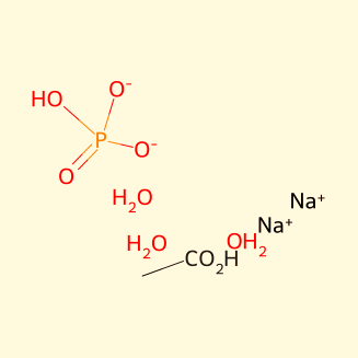 CC(=O)O.O.O.O.O=P([O-])([O-])O.[Na+].[Na+]